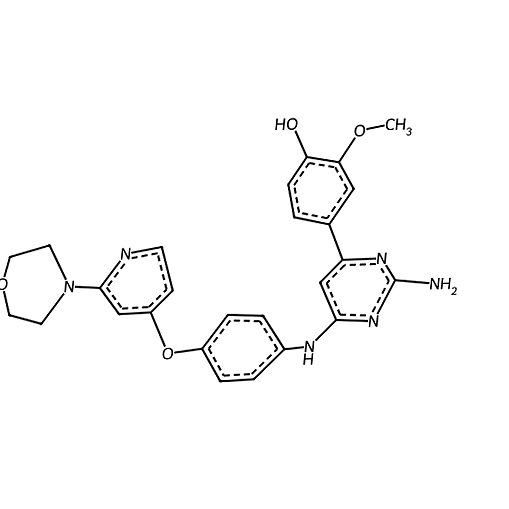 COc1cc(-c2cc(Nc3ccc(Oc4ccnc(N5CCOCC5)c4)cc3)nc(N)n2)ccc1O